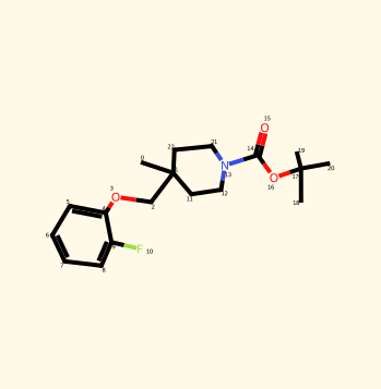 CC1(COc2ccccc2F)CCN(C(=O)OC(C)(C)C)CC1